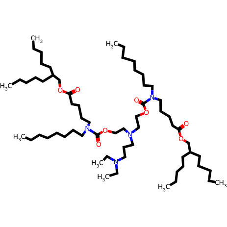 CCCCCCCCN(CCCCC(=O)OCC(CCCCC)CCCCC)C(=O)OCCN(CCCN(CC)CC)CCOC(=O)N(CCCCCCCC)CCCCC(=O)OCC(CCCCC)CCCCC